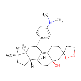 CC(=O)O[C@]1(C(C)=O)CC[C@H]2[C@@H]3CC[C@@]4(O)CC5(CCOO5)CCC4=C3[C@@H](c3ccc(N(C)C)cc3)C[C@@]21C